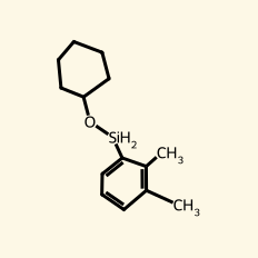 Cc1cccc([SiH2]OC2CCCCC2)c1C